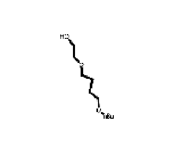 CCCCOCCCCOCCO